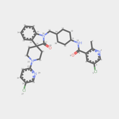 Cc1ncc(Cl)cc1C(=O)NC1CCC(CN2C(=O)C3(CCN(c4ccc(Cl)cn4)CC3)c3ccccc32)CC1